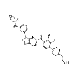 C=CC(=O)Nc1cccc(-c2onc3cnc(Nc4ccc(N5CCN(CCO)CC5)c(F)c4F)nc23)c1